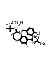 CC(C)(C[C@H]1CSc2cc(F)c(-c3noc(C(C)(C)C)n3)cc2N(Cc2ccc(Cl)cc2)C1=O)NC(=O)O